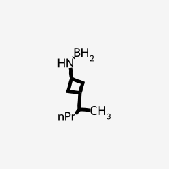 BNC1CC(C(C)CCC)C1